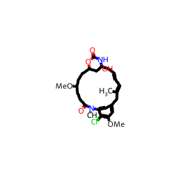 COc1cc2cc(c1Cl)N(C)C(=O)CCC(OC)CCC1C[C@](O)(C/C=C/C=C(\C)C2)NC(=O)O1